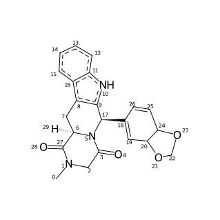 CN1CC(=O)N2[C@H](Cc3c([nH]c4ccccc34)[C@H]2C2=CC3OCOC3C=C2)C1=O